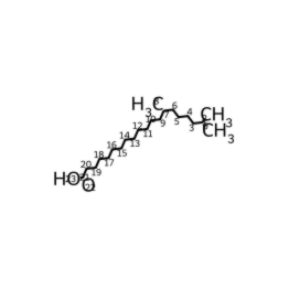 CC(C)CCCCC(C)CCCCCCCCCCCCC(=O)O